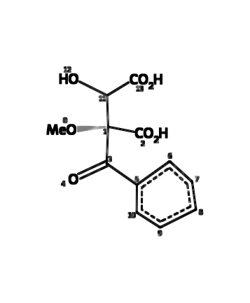 CO[C@](C(=O)O)(C(=O)c1ccccc1)C(O)C(=O)O